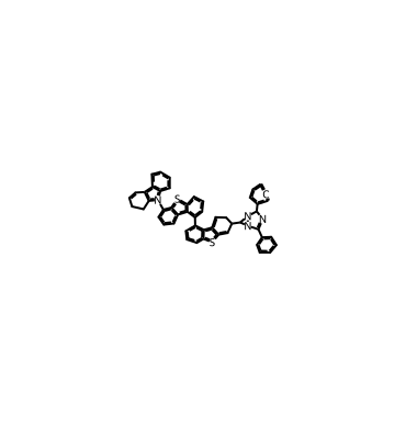 C1=Cc2c(n(-c3cccc4c3sc3cccc(-c5cccc6sc7c(c56)=CCC(C5N6C(c8ccccc8)=NC(c8ccccc8)N56)C=7)c34)c3ccccc23)CC1